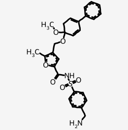 COC1(OCc2cc(C(=O)NS(=O)(=O)c3ccc(CN)cc3)oc2C)C=CC(c2ccccc2)=CC1